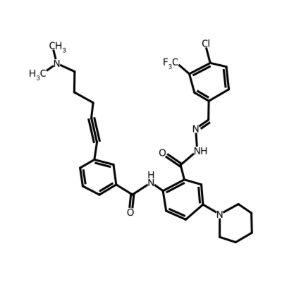 CN(C)CCCC#Cc1cccc(C(=O)Nc2ccc(N3CCCCC3)cc2C(=O)NN=Cc2ccc(Cl)c(C(F)(F)F)c2)c1